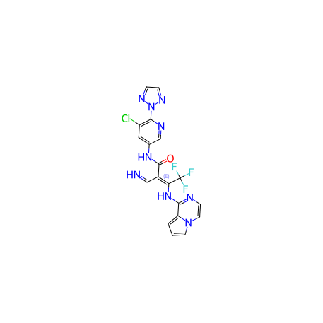 N=C/C(C(=O)Nc1cnc(-n2nccn2)c(Cl)c1)=C(\Nc1nccn2cccc12)C(F)(F)F